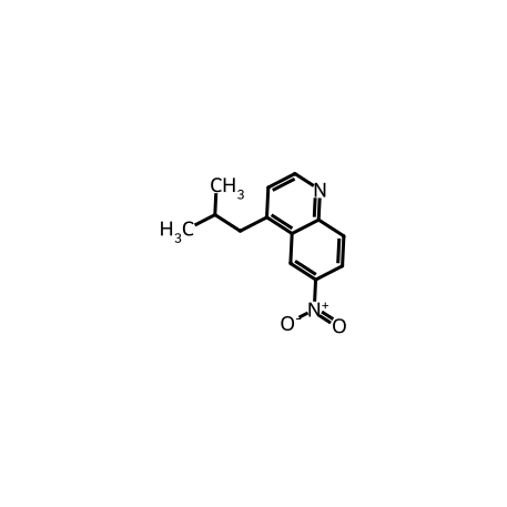 CC(C)Cc1ccnc2ccc([N+](=O)[O-])cc12